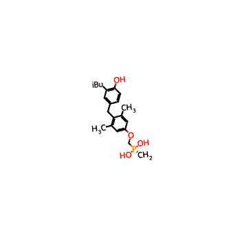 C=P(O)(O)COc1cc(C)c(Cc2ccc(O)c(C(C)CC)c2)c(C)c1